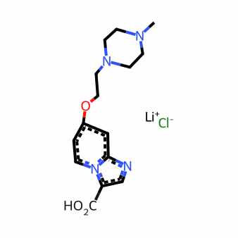 CN1CCN(CCOc2ccn3c(C(=O)O)cnc3c2)CC1.[Cl-].[Li+]